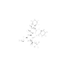 CC(C)CN(C(=O)c1nc2ccccc2n1CCc1ccccc1)[C@H]1C[C@@H](CO)CN(C(=O)OC(C)(C)C)C1